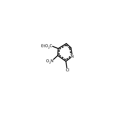 CCOC(=O)c1ccnc(Cl)c1[N+](=O)[O-]